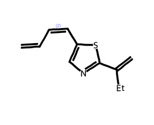 C=C/C=C\c1cnc(C(=C)CC)s1